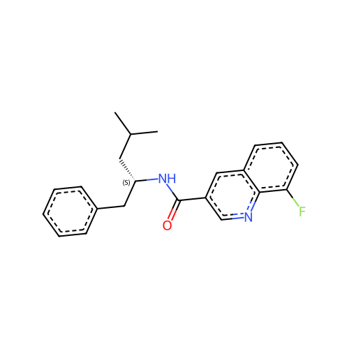 CC(C)C[C@@H](Cc1ccccc1)NC(=O)c1cnc2c(F)cccc2c1